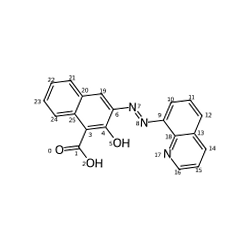 O=C(O)c1c(O)c(/N=N/c2cccc3cccnc23)cc2ccccc12